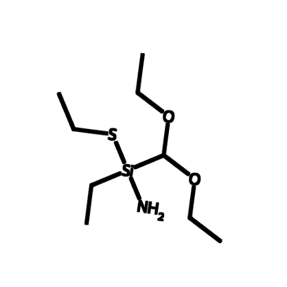 CCOC(OCC)[Si](N)(CC)SCC